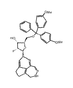 COc1ccc(C(OC[C@H]2O[C@@H](N3C=C4CCC5=C4C(=N3)C=NNC5)[C@H](F)[C@@H]2O)(c2ccccc2)c2ccc(OC)cc2)cc1